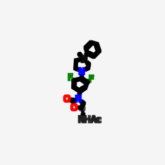 CC(=O)NC[C@H]1CN(c2cc(F)c(N3CC[Si](C)(c4ccccc4)CC3)c(F)c2)C(=O)O1